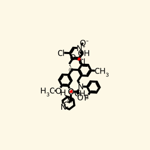 COc1ccc([C@H](Cc2c(Cl)c[n+]([O-])cc2Cl)c2c(CN(C(=O)O[C@H]3CN4CCC3CC4)c3ccccc3F)cc(C)cc2C(=O)O)cc1OC